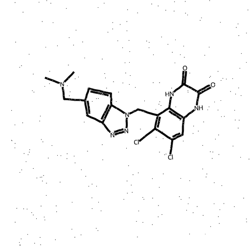 CN(C)Cc1ccc2c(c1)nnn2Cc1c(Cl)c(Cl)cc2[nH]c(=O)c(=O)[nH]c12